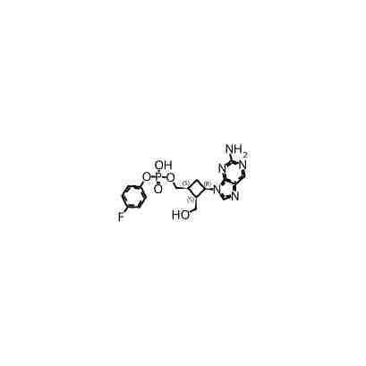 Nc1ncc2ncn([C@@H]3C[C@H](COP(=O)(O)Oc4ccc(F)cc4)[C@@H]3CO)c2n1